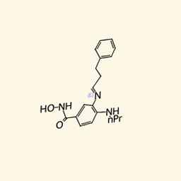 CCCNc1ccc(C(=O)NO)cc1/N=C/CCc1ccccc1